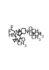 CN(C(=O)c1cnn2c1CN(C(=O)OC(C)(C)C)CC2)C1(CNCC(F)F)CC1